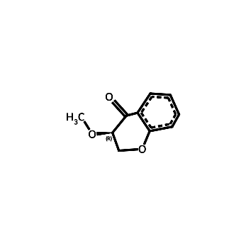 CO[C@@H]1COc2ccccc2C1=O